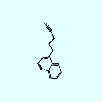 N#CCCCc1cccc2ccccc12